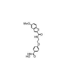 COc1ccc2sc(C(=O)NCCOc3ccc(C(=O)NO)cc3)cc2c1